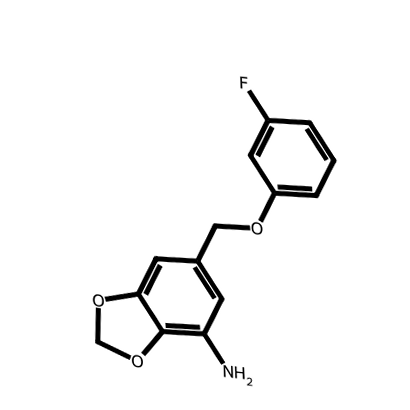 Nc1cc(COc2cccc(F)c2)cc2c1OCO2